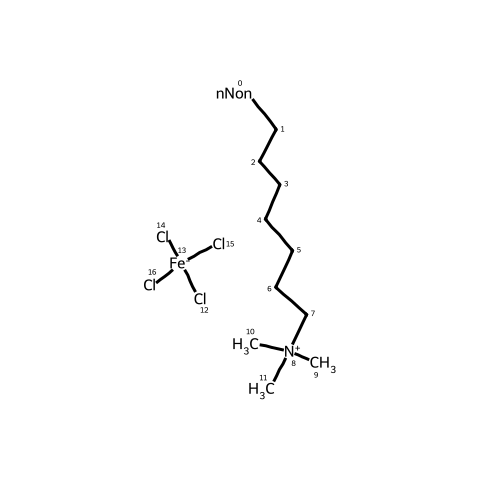 CCCCCCCCCCCCCCCC[N+](C)(C)C.[Cl][Fe-]([Cl])([Cl])[Cl]